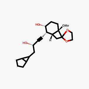 CO[C@]12CC[C@@H](O)[C@@H](C#C[C@@H](O)CC3C4CCCC43)[C@H]1CC21OCCO1